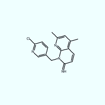 Cc1cc(C)c2ccc(=N)n(Cc3ccc(Cl)nc3)c2n1